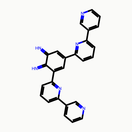 N=C1C=C(c2cccc(-c3cccnc3)n2)C=C(c2cccc(-c3cccnc3)n2)C1=N